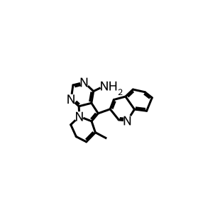 CC1=CCCn2c1c(-c1cnc3ccccc3c1)c1c(N)ncnc12